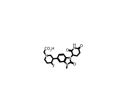 Cn1c(=O)n(C2CCC(=O)NC2=O)c2ccc(C3CN(CC(=O)O)CCC3F)cc21